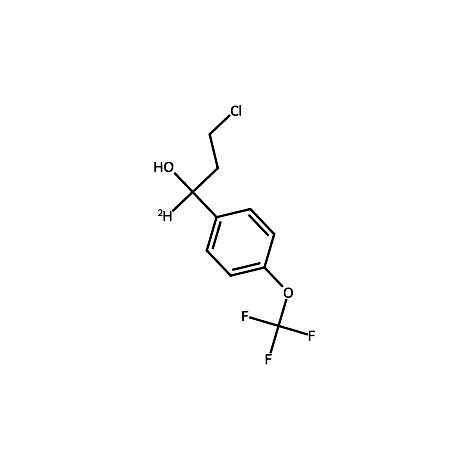 [2H]C(O)(CCCl)c1ccc(OC(F)(F)F)cc1